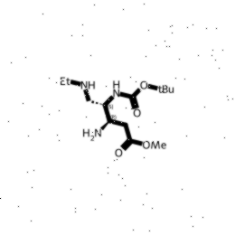 CCNC[C@H](NC(=O)OC(C)(C)C)[C@H](N)CC(=O)OC